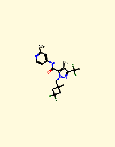 CSc1cc(NC(=O)c2c(C(F)(F)F)c(C(C)(F)F)nn2CC2(C)CC(F)(F)C2)ccn1